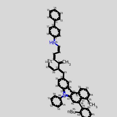 C=C(/C=C\C=C/Nc1ccc(-c2ccccc2)cc1)C(/C=C\CC)=C/c1ccc2c(c1)c1c3cccc(C)c3c(-c3ccccc3CCCC)cc1n2-c1ccccc1